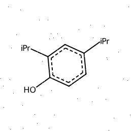 CC(C)c1ccc(O)c(C(C)C)c1